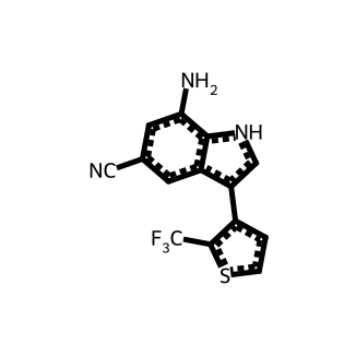 N#Cc1cc(N)c2[nH]cc(-c3ccsc3C(F)(F)F)c2c1